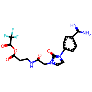 N=C(N)c1ccc(-n2ccn(CC(=O)NCCC(=O)OC(=O)C(F)(F)F)c2=O)cc1